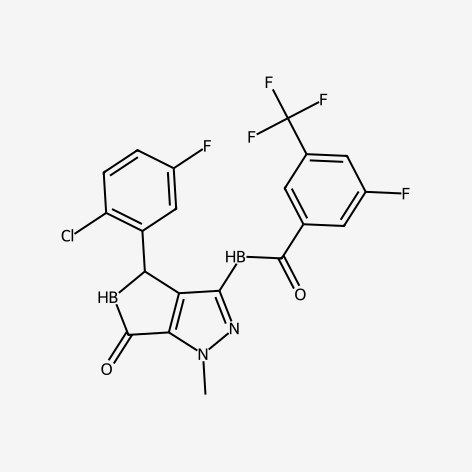 Cn1nc(BC(=O)c2cc(F)cc(C(F)(F)F)c2)c2c1C(=O)BC2c1cc(F)ccc1Cl